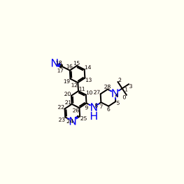 CC(C)(C)N1CCC(Nc2cc(-c3cccc(C#N)c3)cc3ccncc23)CC1